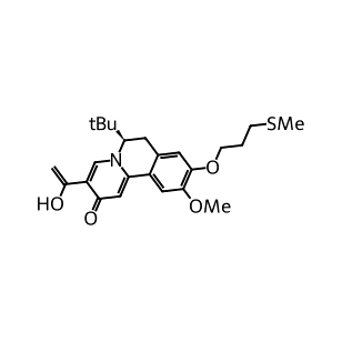 C=C(O)c1cn2c(cc1=O)-c1cc(OC)c(OCCCSC)cc1C[C@@H]2C(C)(C)C